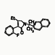 CCC1=C(c2ccccc2F)C(=O)N(C(C)(C)c2ccc3ccccc3c2)C1